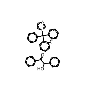 Clc1ccccc1C(c1ccccc1)(c1ccccc1)n1ccnc1.O=C(c1ccccc1)C(O)c1ccccc1